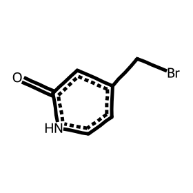 O=c1cc(CBr)cc[nH]1